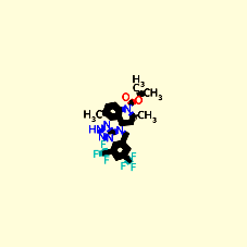 Cc1ccc2c(c1)[C@@H](N(Cc1cc(C(F)(F)F)cc(C(F)(F)F)c1)c1nn[nH]n1)C[C@@H](C)N2C(=O)OC(C)C